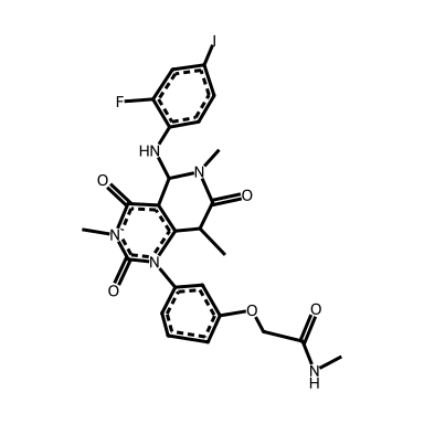 CNC(=O)COc1cccc(-n2c3c(c(=O)n(C)c2=O)C(Nc2ccc(I)cc2F)N(C)C(=O)C3C)c1